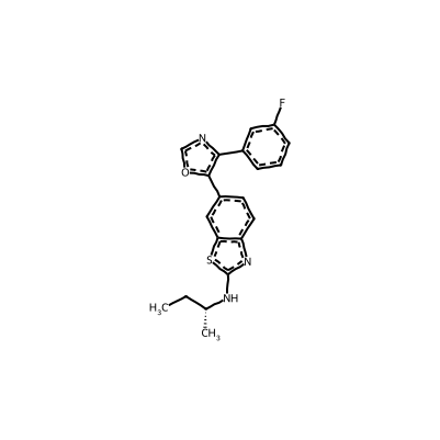 CC[C@@H](C)Nc1nc2ccc(-c3ocnc3-c3cccc(F)c3)cc2s1